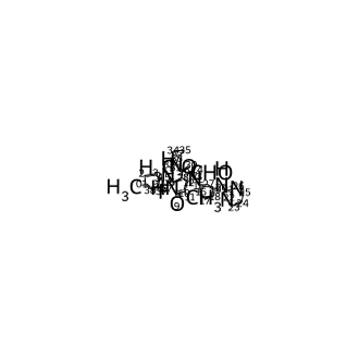 Cc1ccc(Nc2[nH]c(=O)c(C)c(N(C=O)c3cccc(Nc4ncccn4)c3)c2C(=O)N(C)C2CC2)c(F)c1